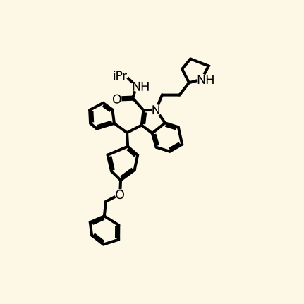 CC(C)NC(=O)c1c(C(c2ccccc2)c2ccc(OCc3ccccc3)cc2)c2ccccc2n1CCC1CCCN1